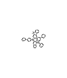 CC1(C)c2ccccc2-c2ccc(N(c3ccc(-c4ccccc4)cc3)c3cc4ccccc4c4c3c3ccc(-c5ccccc5)cc3n4-c3ccccc3)cc21